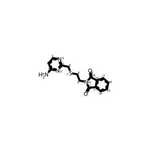 Nc1ccnc(CSCCN2C(=O)c3ccccc3C2=O)n1